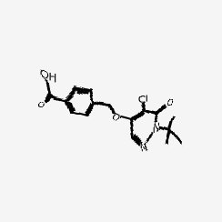 CC(C)(C)n1ncc(OCc2ccc(C(=O)O)cc2)c(Cl)c1=O